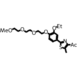 CCOc1cc(-c2nc(C(C)=O)c(C)s2)ccc1OCCOCCOCCOC